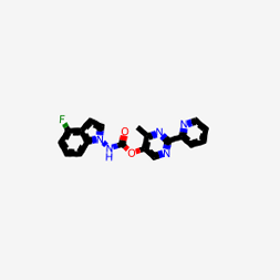 Cc1nc(-c2ccccn2)ncc1OC(=O)Nn1ccc2c(F)cccc21